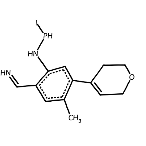 Cc1cc(C=N)c(NPI)cc1C1=CCOCC1